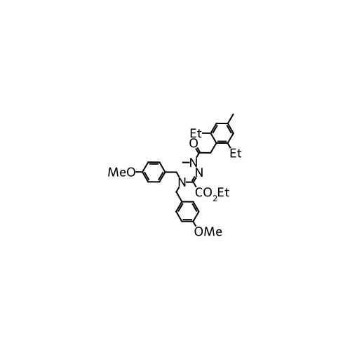 CCOC(=O)/C(=N/N(C)C(=O)Cc1c(CC)cc(C)cc1CC)N(Cc1ccc(OC)cc1)Cc1ccc(OC)cc1